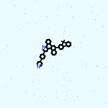 CC1(C)c2ccccc2-c2ccc(-c3cc4c5ccccc5c5ncc(-c6ccc(-c7ccncc7)cc6)cc5c4c4ccccc34)cc21